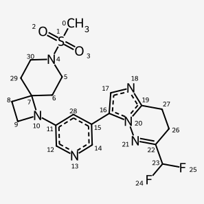 CS(=O)(=O)N1CCC2(CCN2c2cncc(-c3cnc4n3N=C(C(F)F)CC4)c2)CC1